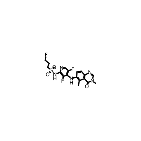 Cc1c(Nc2c(F)cnc(NS(=O)(=O)CCCF)c2F)ccc2ncn(C)c(=O)c12